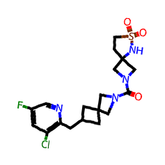 O=C(N1CC2(CC(Cc3ncc(F)cc3Cl)C2)C1)N1CC2(CCS(=O)(=O)N2)C1